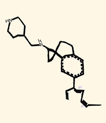 C=C/C(=C\C=C/C)c1ccc2c(c1)C1(CC2)CC1NCC1CCNCC1